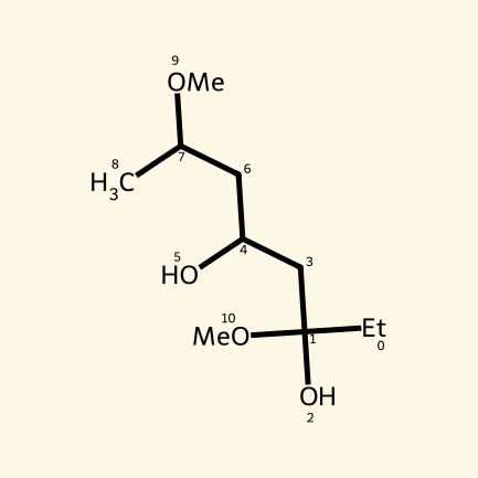 CCC(O)(CC(O)CC(C)OC)OC